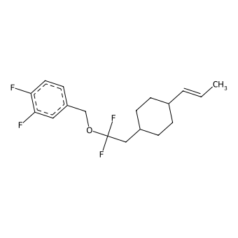 CC=CC1CCC(CC(F)(F)OCc2ccc(F)c(F)c2)CC1